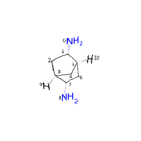 N[C@H]1C[C@H]2C[C@@H]1C[C@@H]2N